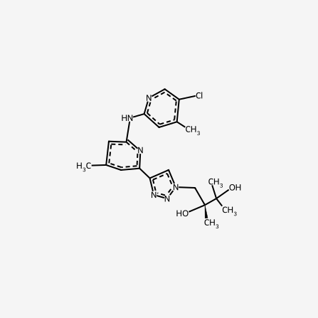 Cc1cc(Nc2cc(C)c(Cl)cn2)nc(-c2cn(C[C@@](C)(O)C(C)(C)O)nn2)c1